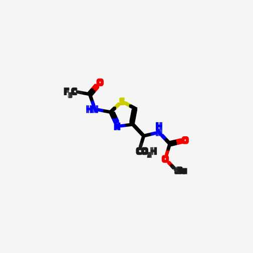 CC(C)(C)OC(=O)NC(C(=O)O)c1csc(NC(=O)C(F)(F)F)n1